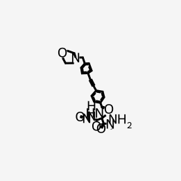 CN(N)C(=O)C(C)(NC(=O)c1ccc(C#Cc2ccc(CN3CCCOCC3)cc2)cc1)C(=O)NN=O